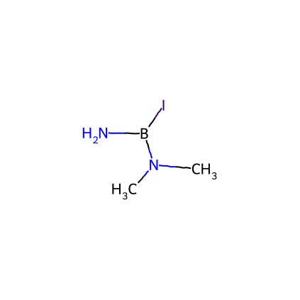 CN(C)B(N)I